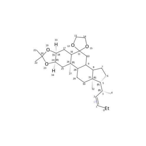 CC/C=C\[C@@H](C)[C@H]1CCC2C3CC4(OCCO4)C4C[C@@H]5OC(C)(C)O[C@@H]5C[C@]4(C)C3CC[C@@]21C